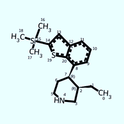 CC[C@H]1CNCC[C@H]1c1cccc2cc([Si](C)(C)C)sc12